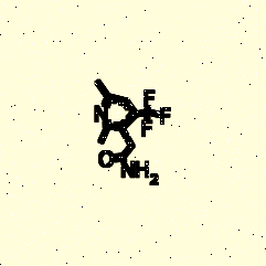 Cc1cc(C(F)(F)F)c(CC(N)=O)c(C)n1